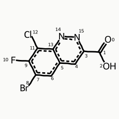 O=C(O)c1cc2cc(Br)c(F)c(Cl)c2nn1